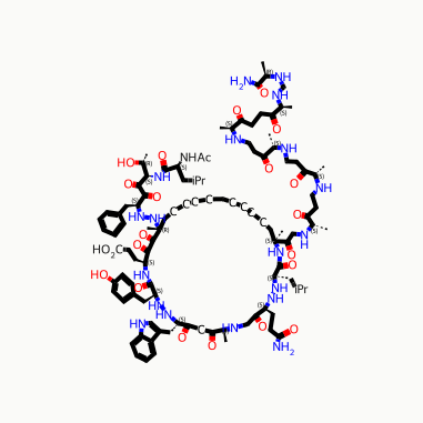 CC(=O)N[C@@H](CC(C)C)C(=O)N[C@H](C(=O)C(=O)[C@H](Cc1ccccc1)NN[C@]1(C)CCCCCCCCCCC[C@@](C)(C(=O)CN[C@@H](C)C(=O)CCN[C@@H](C)C(=O)CCN[C@@H](C)C(=O)CCN[C@@H](C)C(=O)CCC(=O)[C@H](C)NCN[C@H](C)C(N)=O)NC(=O)[C@H](CC(C)C)NN[C@@H](CCC(N)=O)C(=O)CN[C@@H](C)C(=O)CC(=O)[C@H](Cc2c[nH]c3ccccc23)NN[C@@H](Cc2ccc(O)cc2)C(=O)N[C@@H](CCC(=O)O)C(=O)C1=O)[C@@H](C)O